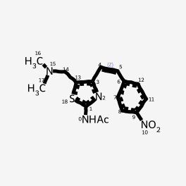 CC(=O)Nc1nc(/C=C\c2ccc([N+](=O)[O-])cc2)c(CN(C)C)s1